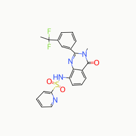 Cn1c(-c2cccc(C(C)(F)F)c2)nc2c(NS(=O)(=O)c3ccccn3)cccc2c1=O